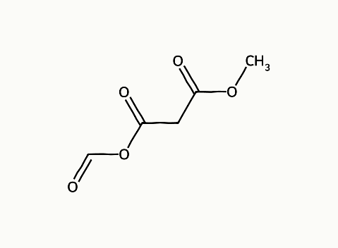 COC(=O)CC(=O)OC=O